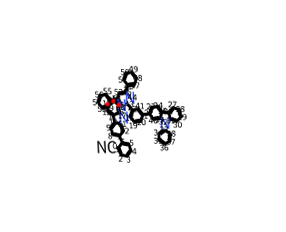 N#Cc1ccccc1-c1ccc2c3ccccc3n(-c3ccc(-c4ccc5c6ccccc6n(-c6ccccc6)c5c4)cc3-c3nc(-c4ccccc4)cc(-c4ccccc4)n3)c2c1